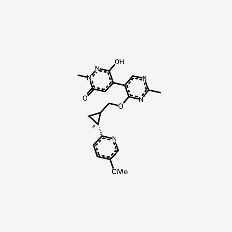 COc1ccc([C@@H]2CC2COc2nc(C)ncc2-c2cc(=O)n(C)nc2O)nc1